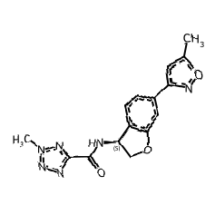 Cc1cc(-c2ccc3c(c2)OC[C@H]3NC(=O)c2nnn(C)n2)no1